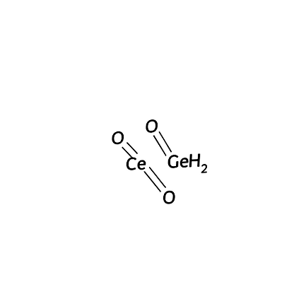 [O]=[Ce]=[O].[O]=[GeH2]